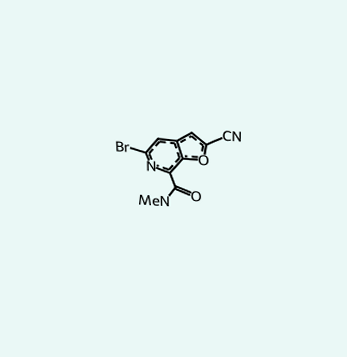 CNC(=O)c1nc(Br)cc2cc(C#N)oc12